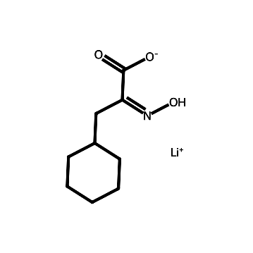 O=C([O-])C(CC1CCCCC1)=NO.[Li+]